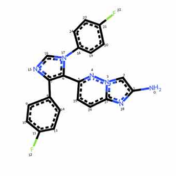 Nc1cn2nc(-c3c(-c4ccc(F)cc4)ncn3-c3ccc(F)cc3)ccc2n1